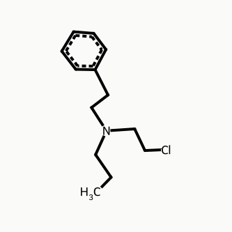 CCCN(CCCl)CCc1ccccc1